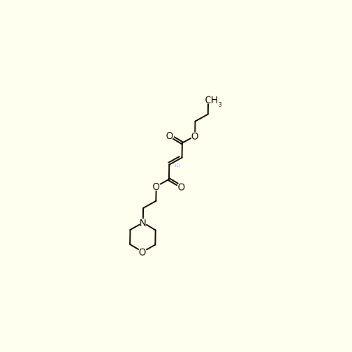 CCCOC(=O)/C=C/C(=O)OCCN1CCOCC1